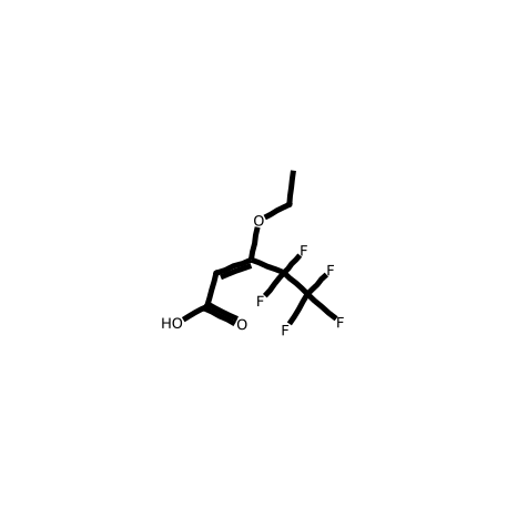 CCOC(=CC(=O)O)C(F)(F)C(F)(F)F